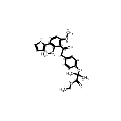 CCOC(=O)C(C)(C)Oc1ccc(CC(=O)c2c(OC)ccc(-c3cccs3)c2OC)cc1